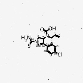 C=CCN(C(=O)O)C1CN(C(N)=S)N=C1c1ccc(Cl)cc1